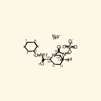 O=C(NOC1CCCCC1)[C@@H]1CC[C@@H]2CN1C(=O)N2OS(=O)(=O)[O-].[Na+]